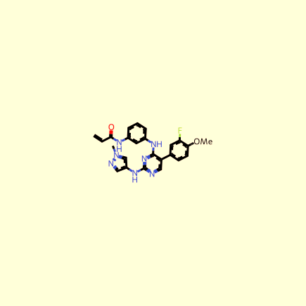 C=CC(=O)Nc1cccc(Nc2nc(Nc3cnn(C)c3)ncc2-c2ccc(OC)c(F)c2)c1